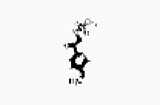 CCc1ccc(C(=O)COS(C)(=O)=O)nc1